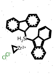 C1=CC2=c3ccccc3=C([SiH2]C3c4ccccc4-c4ccccc43)C2C=C1.[CH2]1[CH2][Zr+2]1.[Cl-].[Cl-]